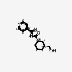 OC[C@H]1CCC[C@@H](c2nc(-c3ccncc3)no2)C1